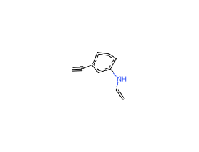 C#Cc1cccc(NC=C)c1